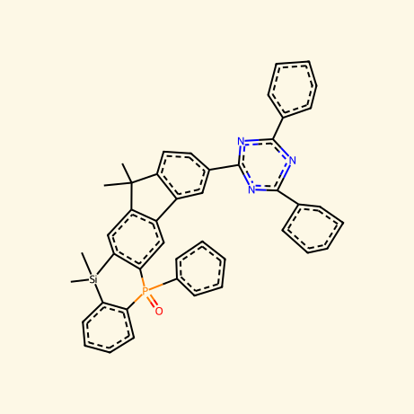 CC1(C)c2ccc(-c3nc(-c4ccccc4)nc(-c4ccccc4)n3)cc2-c2cc3c(cc21)[Si](C)(C)c1ccccc1P3(=O)c1ccccc1